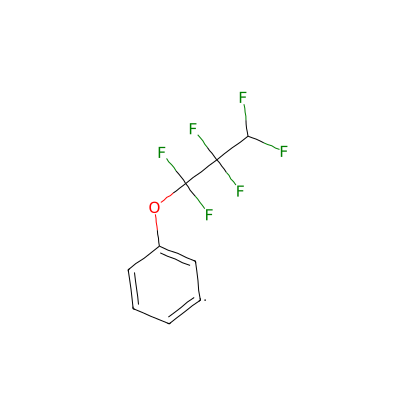 FC(F)C(F)(F)C(F)(F)Oc1c[c]ccc1